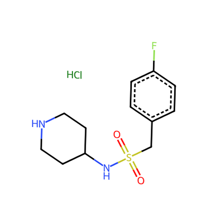 Cl.O=S(=O)(Cc1ccc(F)cc1)NC1CCNCC1